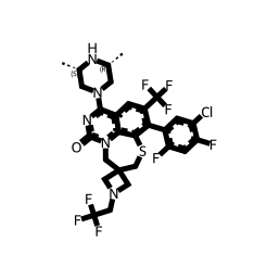 C[C@@H]1CN(c2nc(=O)n3c4c(c(-c5cc(Cl)c(F)cc5F)c(C(F)(F)F)cc24)SCC2(CN(CC(F)(F)F)C2)C3)C[C@H](C)N1